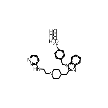 Cl.Cl.Cl.Fc1ccc(Cn2c(CC3CCN(CCNc4cccnn4)CC3)nc3ccccc32)cc1.O